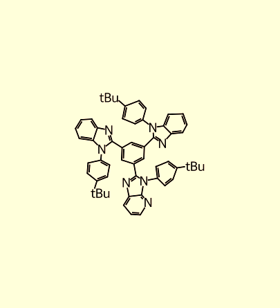 CC(C)(C)c1ccc(-n2c(-c3cc(-c4nc5ccccc5n4-c4ccc(C(C)(C)C)cc4)cc(-c4nc5cccnc5n4-c4ccc(C(C)(C)C)cc4)c3)nc3ccccc32)cc1